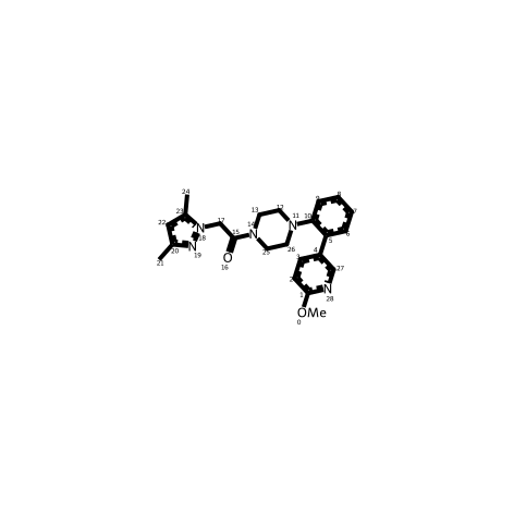 COc1ccc(-c2ccccc2N2CCN(C(=O)Cn3nc(C)cc3C)CC2)cn1